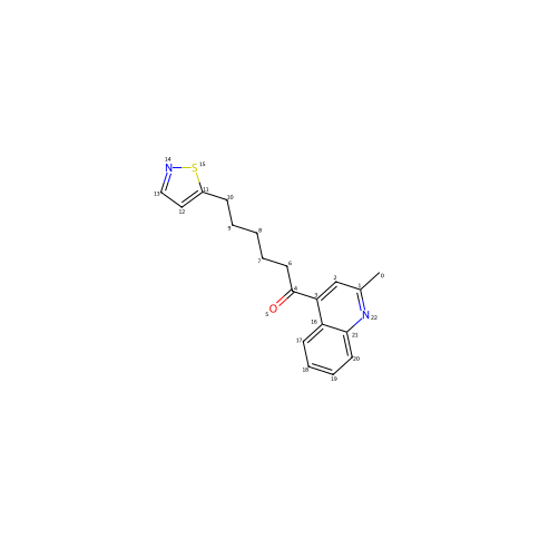 Cc1cc(C(=O)CCCCCc2ccns2)c2ccccc2n1